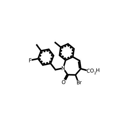 Cc1ccc2c(c1)N(Cc1ccc(C)c(F)c1)C(=O)C(Br)C(C(=O)O)=C2